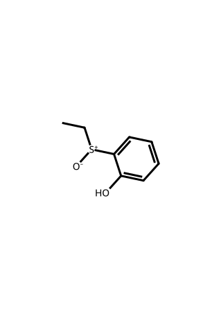 CC[S+]([O-])c1ccccc1O